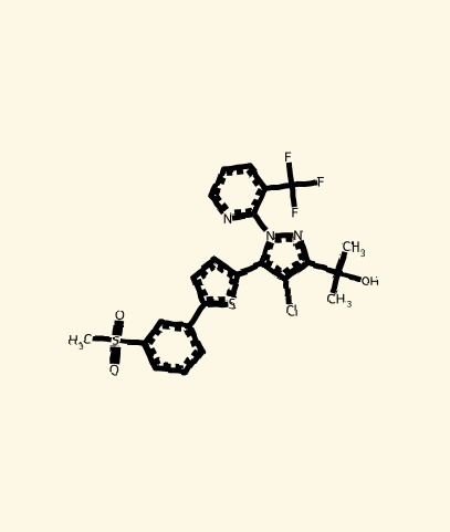 CC(C)(O)c1nn(-c2ncccc2C(F)(F)F)c(-c2ccc(-c3cccc(S(C)(=O)=O)c3)s2)c1Cl